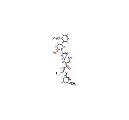 COc1ncccc1-c1ccc(O)c(-c2nc3cc(C(=O)NC(C)Cc4cccc(C)n4)ccc3[nH]2)c1